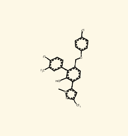 Cn1nc(C(F)(F)F)cc1-c1ccc(COc2ccc(Cl)cc2)c(-c2ccc(Cl)c(C(F)(F)F)c2)c1O